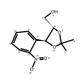 CC1(C)O[C@@H](CO)[C@H](c2ccccc2[N+](=O)[O-])O1